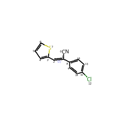 N#C/C(=C\c1cccs1)c1ccc(Cl)cc1